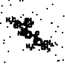 CN(C)CCN(C)C(=O)c1c[nH]c2ccc(C(=O)N3CC4(C)CC3CC(C)(C)C4)cc12